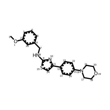 COc1cccc(CNc2nc(-c3ccc(N4CCOCC4)cc3)cs2)c1